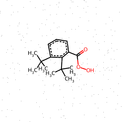 CC(C)(C)c1cccc(C(=O)OO)c1C(C)(C)C